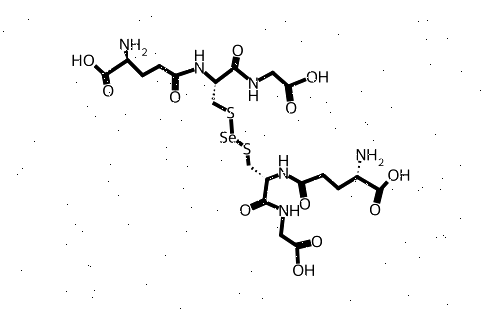 N[C@@H](CCC(=O)N[C@@H](CS[Se]SC[C@H](NC(=O)CC[C@H](N)C(=O)O)C(=O)NCC(=O)O)C(=O)NCC(=O)O)C(=O)O